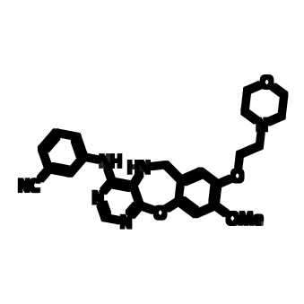 COc1cc2c(cc1OCCN1CCOCC1)CNc1c(Nc3cccc(C#N)c3)ncnc1O2